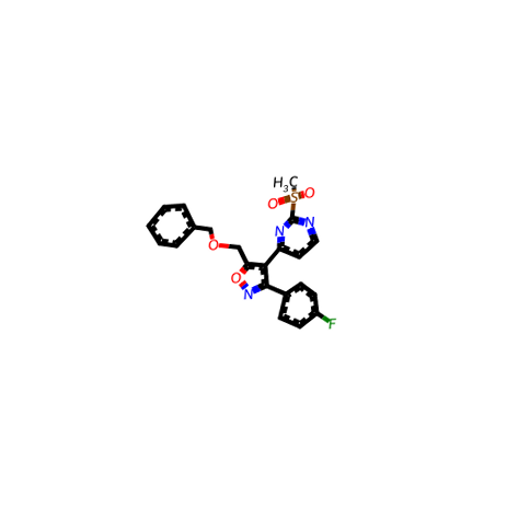 CS(=O)(=O)c1nccc(-c2c(-c3ccc(F)cc3)noc2COCc2ccccc2)n1